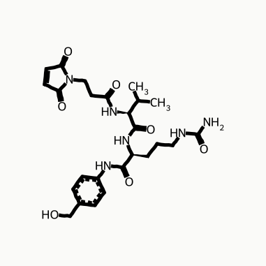 CC(C)[C@H](NC(=O)CCN1C(=O)C=CC1=O)C(=O)N[C@@H](CCCNC(N)=O)C(=O)Nc1ccc(CO)cc1